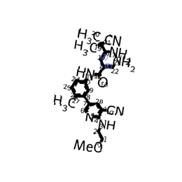 COCCNc1ncc(-c2cc(NC(=O)C(/C=C(\N)C(C)(C)C#N)=C/N)ccc2C)cc1C#N